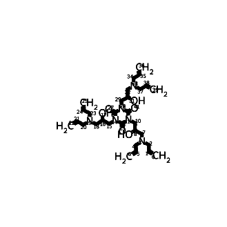 C=CCN(CC=C)CC(O)Cn1c(=O)n(CC(O)CN(CC=C)CC=C)c(=O)n(CC(O)CN(CC=C)CC=C)c1=O